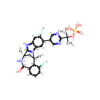 CC(C)(OP(=O)(O)O)c1ncc(-c2cc3c(cc2F)nc2n3[C@H]3C[C@H]2NC(=O)c2cccc(F)c23)cn1